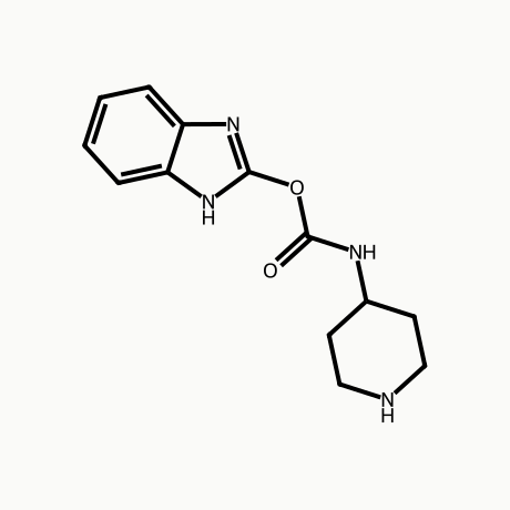 O=C(NC1CCNCC1)Oc1nc2ccccc2[nH]1